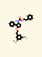 O=C(NC1CCC(OCCc2cc(C(F)(F)F)cc(C(F)(F)F)c2)C1c1ccccc1)OCCc1ccccc1